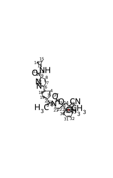 C[C@@H](c1ccc(-c2ccc(C(=O)NC3CC3)nn2)cc1)N1CCC(CC(C)(C)C#N)(c2ccccc2)OC1=O